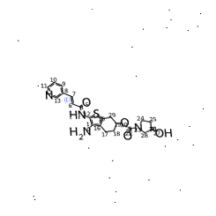 Nc1c(NC(=O)/C=C/c2cccnc2)sc2c1CCC(OC(=O)N1CC[C@@H](O)C1)C2